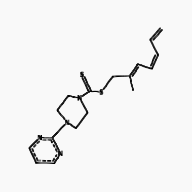 C=C/C=C\C=C(/C)CSC(=S)N1CCN(c2ncccn2)CC1